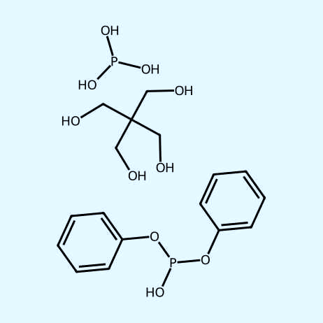 OCC(CO)(CO)CO.OP(O)O.OP(Oc1ccccc1)Oc1ccccc1